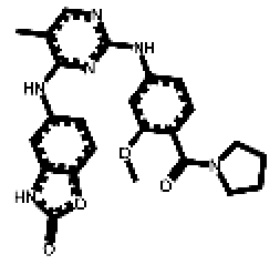 COc1cc(Nc2ncc(C)c(Nc3ccc4oc(=O)[nH]c4c3)n2)ccc1C(=O)N1CCCC1